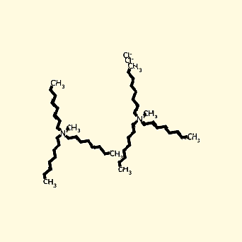 CCCCCCCC[N+](C)(CCCCCCCC)CCCCCCCC.CCCCCCCC[N+](C)(CCCCCCCC)CCCCCCCC.[Cl-].[Cl-]